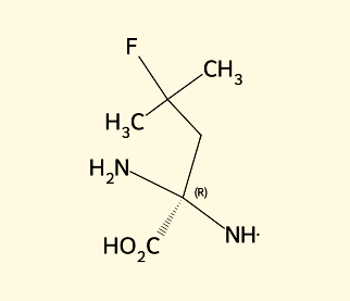 CC(C)(F)C[C@@]([NH])(N)C(=O)O